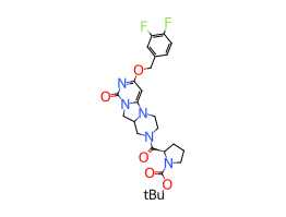 CC(C)(C)OC(=O)N1CCC[C@@H]1C(=O)N1CCN2c3cc(OCc4ccc(F)c(F)c4)nc(=O)n3CC2C1